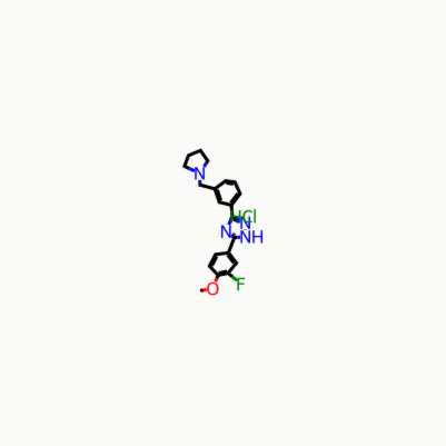 COc1ccc(-c2nc(-c3cccc(CN4CCCC4)c3)n[nH]2)cc1F.Cl